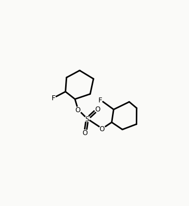 O=S(=O)(OC1CCCCC1F)OC1CCCCC1F